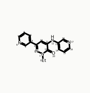 CCn1nc(-c2cccnc2)cc(Nc2cccnc2)c1=O